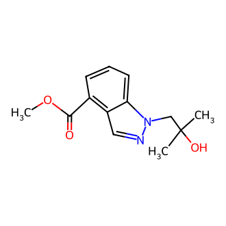 COC(=O)c1cccc2c1cnn2CC(C)(C)O